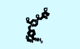 Nc1ncnc2cc(CN3CCN(C(=O)Cc4cc(Cl)cs4)CC3C=O)ccc12